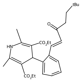 CCOC(=O)C1=C(C)NC(C)=C(C(=O)OCC)C1c1ccccc1/C=C/C(=O)CCC(C)(C)C